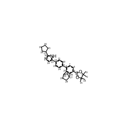 CC1(C)OB(c2ccc(-c3ccc(-c4cnc(C5CCCC5)[nH]4)cc3)c3c2C2CCC3C2)OC1(C)C